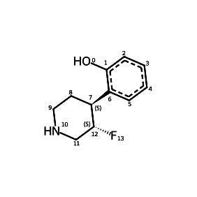 Oc1ccccc1[C@@H]1CCNC[C@H]1F